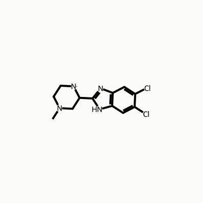 CN1CC[N]C(c2nc3cc(Cl)c(Cl)cc3[nH]2)C1